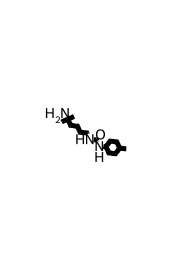 CC1CCC(NC(=O)NCCCCC(C)(C)N)CC1